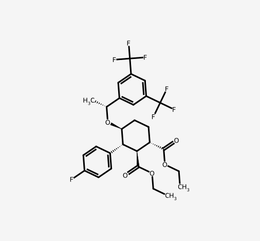 CCOC(=O)[C@H]1[C@H](c2ccc(F)cc2)[C@@H](O[C@H](C)c2cc(C(F)(F)F)cc(C(F)(F)F)c2)CC[C@@H]1C(=O)OCC